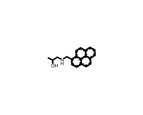 CC(O)CNCc1ccc2ccc3cccc4ccc1c2c34